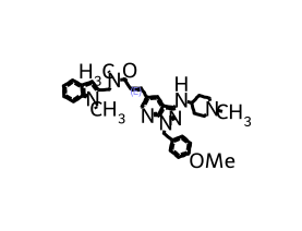 COc1ccc(Cn2nc(NC3CCN(C)CC3)c3cc(/C=C/C(=O)N(C)Cc4cc5ccccc5n4C)cnc32)cc1